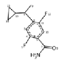 CC(c1cc(F)c(C(N)=O)cc1F)C1CC1